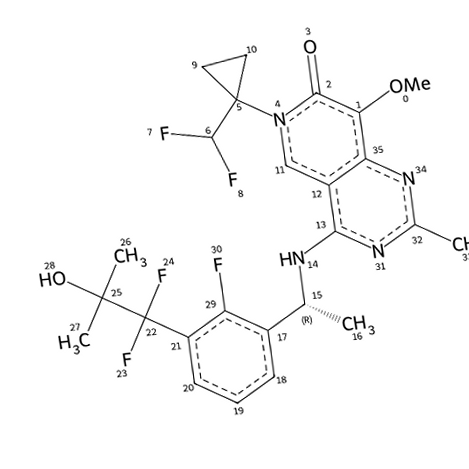 COc1c(=O)n(C2(C(F)F)CC2)cc2c(N[C@H](C)c3cccc(C(F)(F)C(C)(C)O)c3F)nc(C)nc12